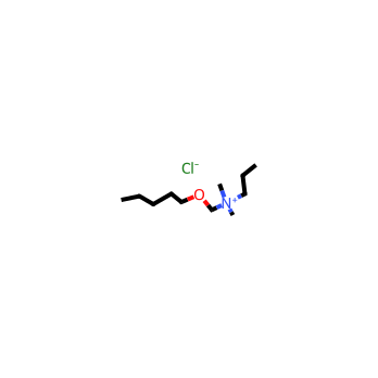 CCCCCOC[N+](C)(C)CCC.[Cl-]